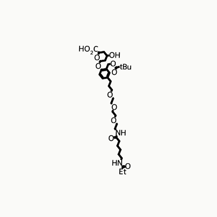 CCC(=O)NCCCCCC(=O)NCCOCCOCCOCCCc1ccc(OC2CC(O)CC(C(=O)O)O2)c(COC(=O)C(C)(C)C)c1